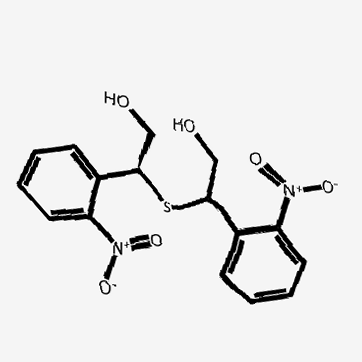 O=[N+]([O-])c1ccccc1C(CO)S[C@H](CO)c1ccccc1[N+](=O)[O-]